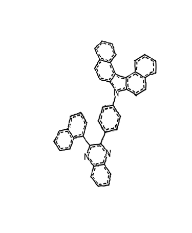 c1ccc2c(-c3nc4ccccc4nc3-c3ccc(-n4c5ccc6ccccc6c5c5c6ccccc6ccc54)cc3)cccc2c1